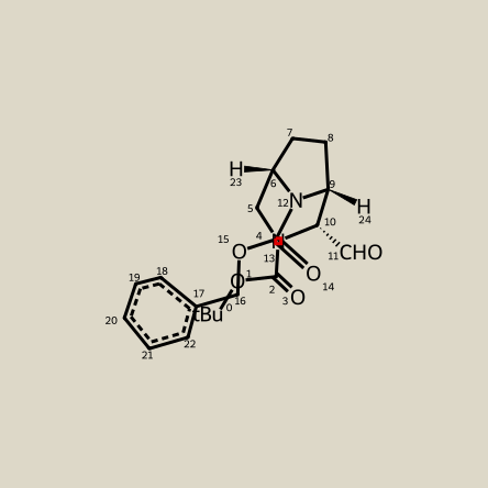 CC(C)(C)OC(=O)N1C[C@@H]2CC[C@H]([C@@H]1C=O)N2C(=O)OCc1ccccc1